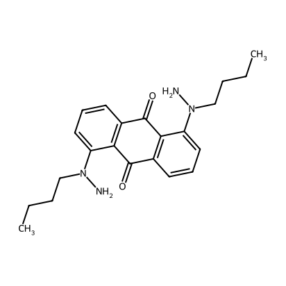 CCCCN(N)c1cccc2c1C(=O)c1cccc(N(N)CCCC)c1C2=O